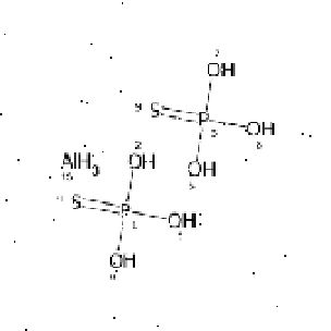 OP(O)(O)=S.OP(O)(O)=S.[AlH3]